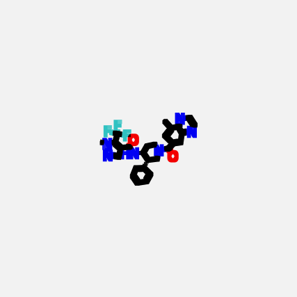 Cc1cc(C(=O)N2CC[C@@H](NC(=O)c3cnn(C)c3C(F)(F)F)[C@@H](c3ccccc3)C2)cc2nccnc12